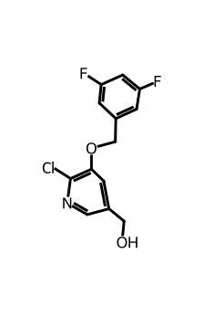 OCc1cnc(Cl)c(OCc2cc(F)cc(F)c2)c1